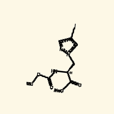 COC(=O)[C@H](Cn1cc(I)cn1)NC(=O)OC(C)(C)C